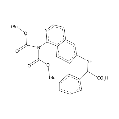 CC(C)(C)OC(=O)N(C(=O)OC(C)(C)C)c1nccc2cc(NC(C(=O)O)c3ccccc3)ccc12